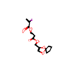 C=C(I)C(=O)OCCC(=O)OCC1COC2(CCCC2)O1